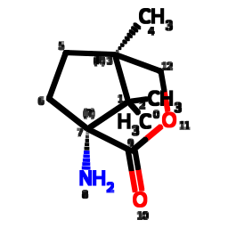 CC1(C)[C@@]2(C)CC[C@]1(N)C(=O)OC2